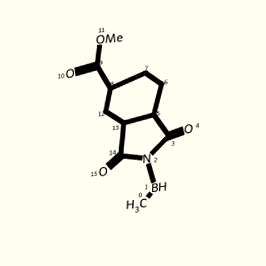 CBN1C(=O)C2CCC(C(=O)OC)CC2C1=O